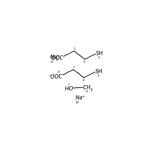 CO.O=C([O-])CCS.O=C([O-])CCS.[Na+].[Na+]